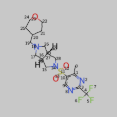 Cc1nc(C(F)(F)F)ncc1S(=O)(=O)N1C[C@H]2CN(CC3CCOCC3)C[C@@H]2C1